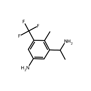 Cc1c(C(C)N)cc(N)cc1C(F)(F)F